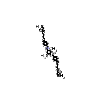 C=CC(=O)OCCCCOc1ccc(/C=N/c2cc(C)c(OC(=O)c3ccc(OCCCCOC(=O)C=C)cc3)cc2C)cc1